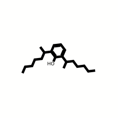 CCCCCC(C)c1cccc(C(C)CCCCC)c1O